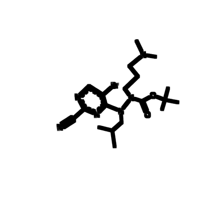 CC(C)CN(c1nc(C#N)ncc1Br)N(CCCN(C)C)C(=O)OC(C)(C)C